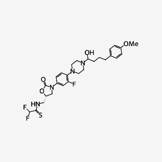 COc1ccc(CCCC(O)N2CCN(c3ccc(N4C[C@H](CNC(=S)C(F)F)OC4=O)cc3F)CC2)cc1